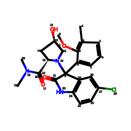 COc1c(C)cccc1C1(N2C[C@H](O)C[C@H]2C(=O)N(C)C)C(=O)Nc2ccc(Cl)cc21